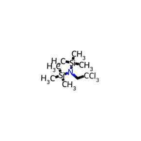 C[Si](C)(C)N(CC(Cl)(Cl)Cl)[Si](C)(C)C